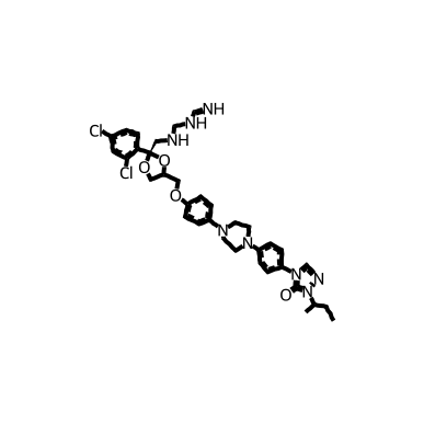 CCC(C)n1ncn(-c2ccc(N3CCN(c4ccc(OCC5CO[C@](CNCNC=N)(c6ccc(Cl)cc6Cl)O5)cc4)CC3)cc2)c1=O